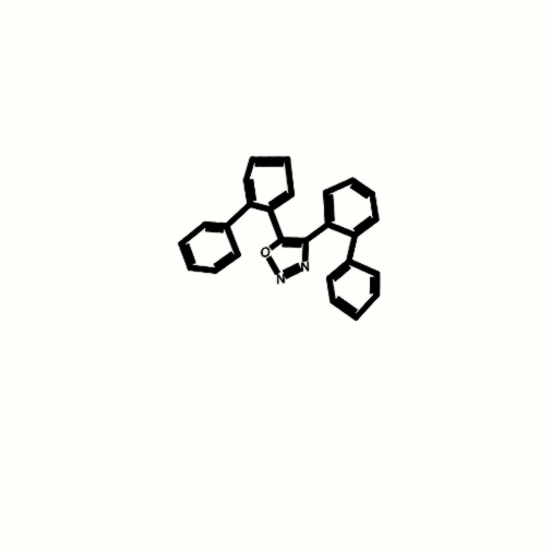 c1ccc(-c2ccccc2-c2nnoc2-c2ccccc2-c2ccccc2)cc1